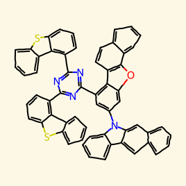 c1ccc2cc3c(cc2c1)c1ccccc1n3-c1cc(-c2nc(-c3cccc4sc5ccccc5c34)nc(-c3cccc4sc5ccccc5c34)n2)c2c(c1)oc1c3ccccc3ccc12